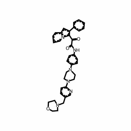 O=C(Nc1ccc(N2CCN(c3ccc(CN4CCOCC4)cn3)CC2)cc1)C(=O)c1c(-c2ccccc2)cc2ccccn12